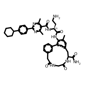 Cc1cc2cc(c1NC(=O)[C@H](CCN)NC(=O)c1c(C)nc(-c3ccc(C4CCCCC4)cc3)nc1C)-c1cccc(c1)CC(=O)NCC(=O)NC(C(N)=O)C2